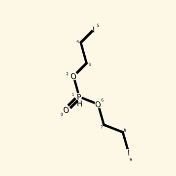 O=[PH](OCCI)OCCI